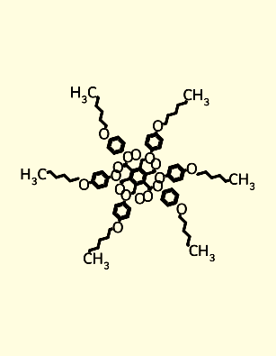 CCCCCCOc1ccc(OC(=O)c2c(C(=O)Oc3ccc(OCCCCCC)cc3)c(C(=O)Oc3ccc(OCCCCCC)cc3)c(C(=O)Oc3ccc(OCCCCCC)cc3)c(C(=O)Oc3ccc(OCCCCCC)cc3)c2C(=O)Oc2ccc(OCCCCCC)cc2)cc1